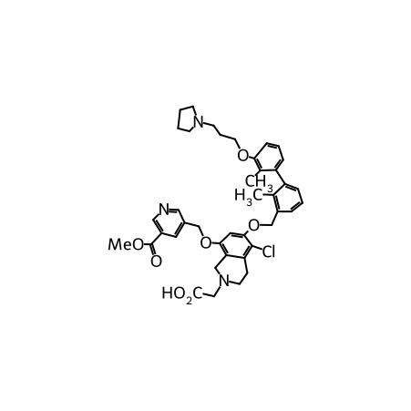 COC(=O)c1cncc(COc2cc(OCc3cccc(-c4cccc(OCCCN5CCCC5)c4C)c3C)c(Cl)c3c2CN(CC(=O)O)CC3)c1